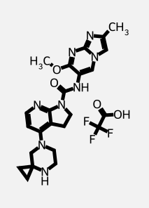 COc1nc2nc(C)cn2cc1NC(=O)N1CCc2c(N3CCNC4(CC4)C3)ccnc21.O=C(O)C(F)(F)F